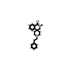 CN1CC2(CCN(CCc3ccccc3)CC2)c2ccccc2C1=O